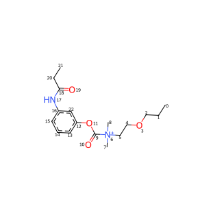 CCCOCC[N+](C)(C)C(=O)Oc1cccc(NC(=O)CC)c1